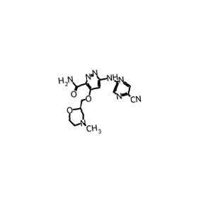 CN1CCO[C@@H](COc2cc(Nc3cnc(C#N)cn3)nnc2C(N)=O)C1